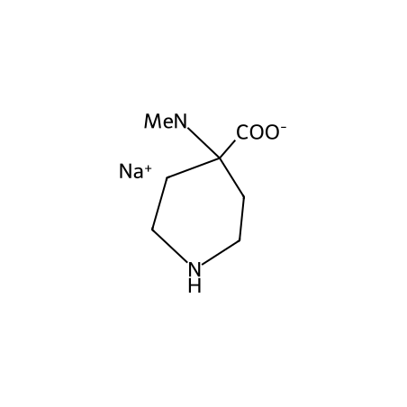 CNC1(C(=O)[O-])CCNCC1.[Na+]